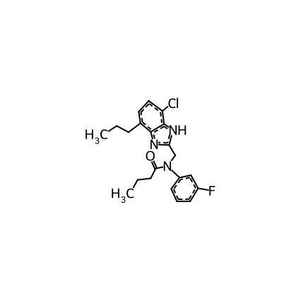 CCCC(=O)N(Cc1nc2c(CCC)ccc(Cl)c2[nH]1)c1cccc(F)c1